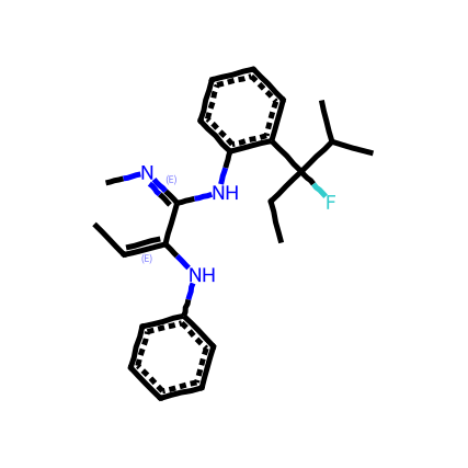 C/C=C(Nc1ccccc1)\C(=N/C)Nc1ccccc1C(F)(CC)C(C)C